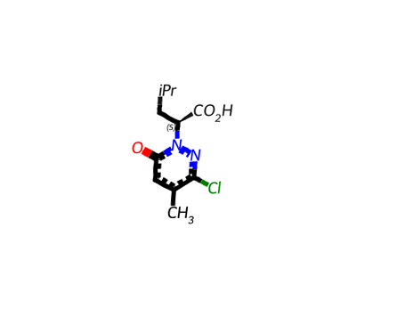 Cc1cc(=O)n([C@@H](CC(C)C)C(=O)O)nc1Cl